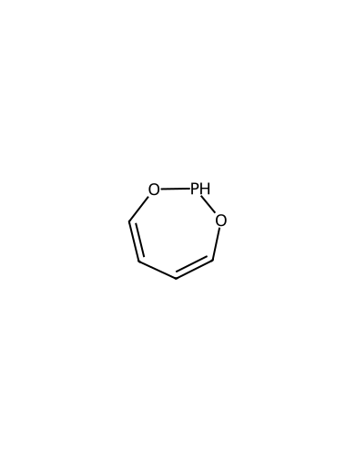 c1cco[pH]oc1